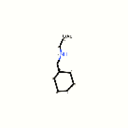 CC(=O)OCNCC1CCCCC1